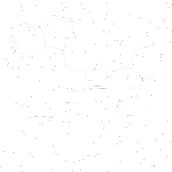 CC(C)Cn1c(=O)n(C)c(=O)c2c(SCCCC(=O)O)n(Cc3cccc4ccccc34)cc21.[Na]